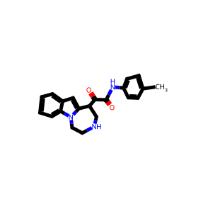 Cc1ccc(NC(=O)C(=O)C2CNCCn3c2cc2ccccc23)cc1